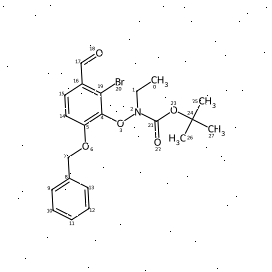 CCN(Oc1c(OCc2ccccc2)ccc(C=O)c1Br)C(=O)OC(C)(C)C